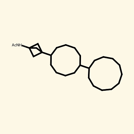 CC(=O)NC12CC(C3CCCCC(C4CCCCCCCCCC4)CCCC3)(C1)C2